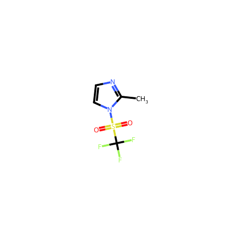 Cc1nccn1S(=O)(=O)C(F)(F)F